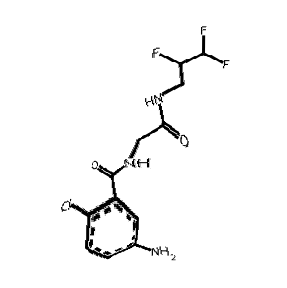 Nc1ccc(Cl)c(C(=O)NCC(=O)NCC(F)C(F)F)c1